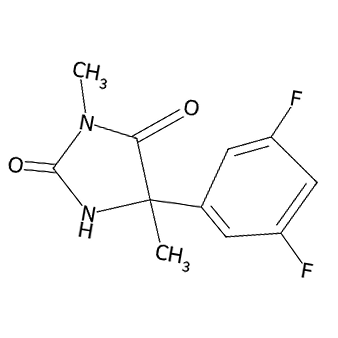 CN1C(=O)NC(C)(c2cc(F)cc(F)c2)C1=O